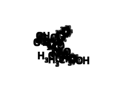 Cc1c(C(=O)N(C)c2ccc(O)cc2)cc(-c2cc3c(cc2C(=O)N2Cc4ccccc4C[C@H]2C)CN(C(=O)O)C3)n1C